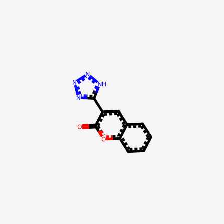 O=c1oc2[c]cccc2cc1-c1nnn[nH]1